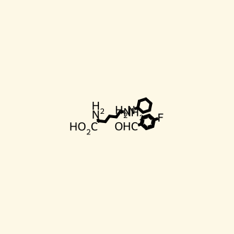 NC1CCCCC1.NCCCCC(N)C(=O)O.O=Cc1ccc(F)cc1